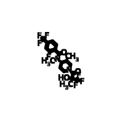 C[C@H]1CN(C(=O)[C@@](C)(O)C(F)(F)F)CC[C@H]1N(C)C(=O)c1ccc(C(F)(F)F)cc1F